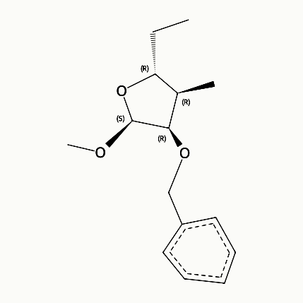 CC[C@H]1O[C@H](OC)[C@H](OCc2ccccc2)[C@@H]1C